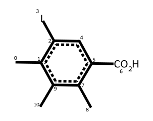 Cc1c(I)cc(C(=O)O)c(C)c1C